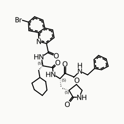 O=C(NCc1ccccc1)C(=O)[C@H](C[C@@H]1CCNC1=O)NC(=O)[C@H](CC1CCCCC1)NC(=O)c1ccc2ccc(Br)cc2n1